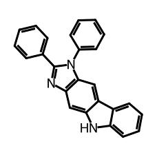 c1ccc(-c2nc3cc4[nH]c5ccccc5c4cc3n2-c2ccccc2)cc1